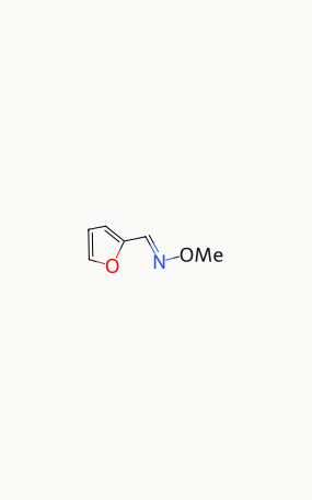 CON=Cc1ccco1